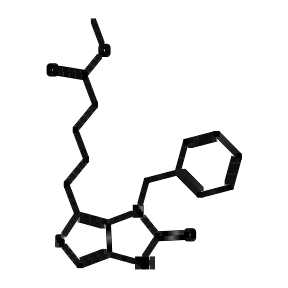 COC(=O)CCCCc1scc2[nH]c(=O)n(Cc3ccccc3)c12